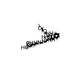 COCCOCNCN(F)C(Cc1ccccc1)NC(=O)CNCNCCCCCN(O)O